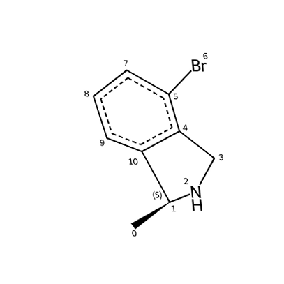 C[C@@H]1NCc2c(Br)cccc21